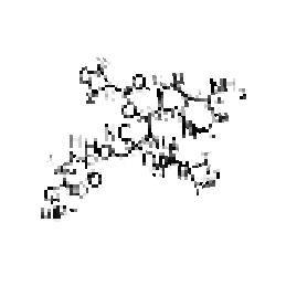 CO[C@](C#N)(CO[PH](=O)N[C@@H](C)C(=O)OC(C)C)[C@@H](OC(=O)C1COC1)[C@@H](OC(=O)C1COC1)c1ccc2c(N)ncnn12